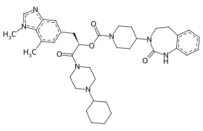 Cc1cc(C[C@@H](OC(=O)N2CCC(N3CCc4ccccc4NC3=O)CC2)C(=O)N2CCN(C3CCCCC3)CC2)cc2ncn(C)c12